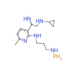 Cc1ccc(C(=N)CNC2CC2)c(NCCCNP)n1